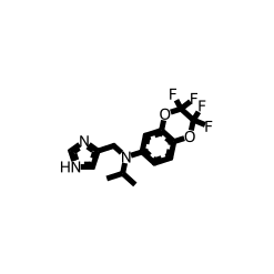 CC(C)N(Cc1c[nH]cn1)c1ccc2c(c1)OC(F)(F)C(F)(F)O2